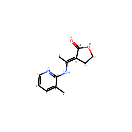 C/C(Nc1ncccc1C)=C1/CCOC1=O